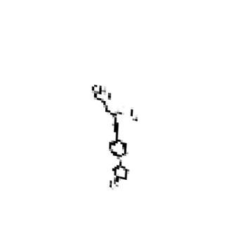 CCCCC(C)C#Cc1ccc(C2CCC(=O)C2)cc1